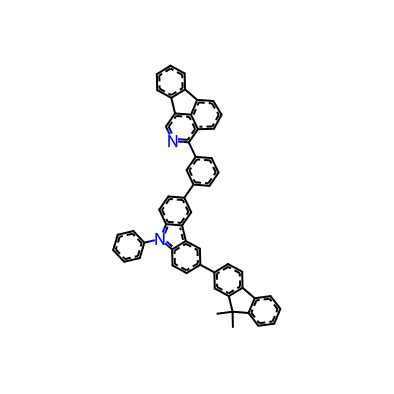 CC1(C)c2ccccc2-c2ccc(-c3ccc4c(c3)c3cc(-c5cccc(-c6ncc7c8c(cccc68)-c6ccccc6-7)c5)ccc3n4-c3ccccc3)cc21